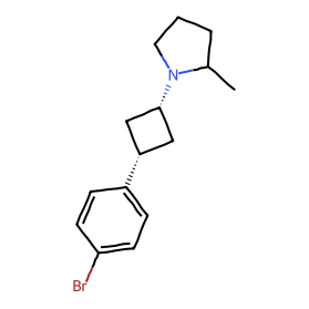 CC1CCCN1[C@H]1C[C@@H](c2ccc(Br)cc2)C1